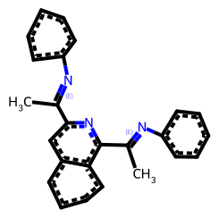 C/C(=N\c1ccccc1)c1cc2ccccc2c(/C(C)=N/c2ccccc2)n1